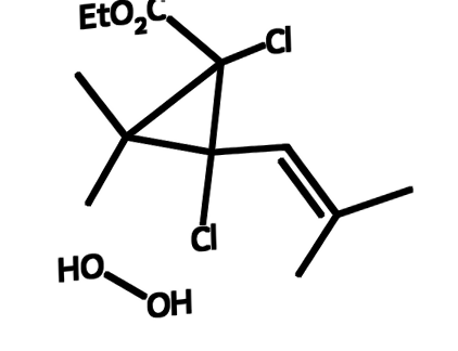 CCOC(=O)C1(Cl)C(C)(C)C1(Cl)C=C(C)C.OO